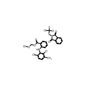 CCOCOC(=O)c1ccccc1Nc1c(Cl)ccc(C)c1Cl.O=C1c2ccccc2C(=O)N1SC(F)(Cl)Cl